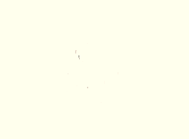 CC(=O)N[C@H]1C(O)O[C@H](CO)[C@H](O)[C@@H]1O.CC(=O)O